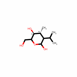 CC(C)C1C(O)OC(CO)[C@@H](O)[C@@H]1C